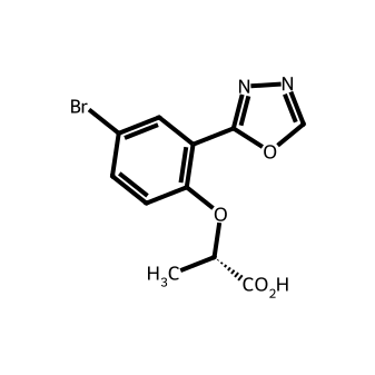 C[C@H](Oc1ccc(Br)cc1-c1nnco1)C(=O)O